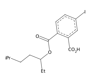 CCC(CCC(C)C)OC(=O)c1ccc(I)cc1C(=O)O